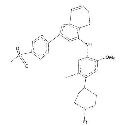 CCN1CCC(c2cc(OC)c(Nc3cc(-c4ccc(S(C)(=O)=O)cc4)cc4c3CCC=C4)cc2C)CC1